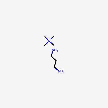 C[N+](C)(C)C.NCCCN